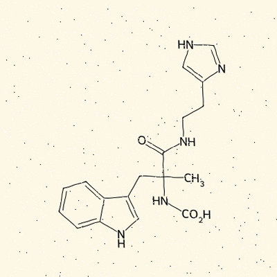 CC(Cc1c[nH]c2ccccc12)(NC(=O)O)C(=O)NCCc1c[nH]cn1